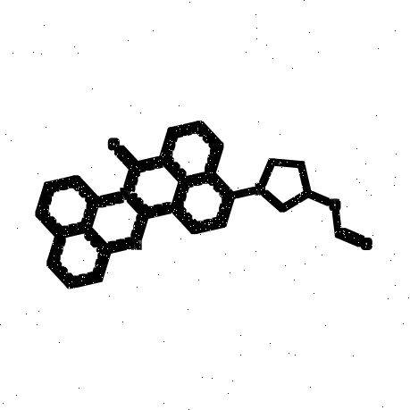 O=COC1CCN(c2ccc3c4c2cccc4c(=O)n2c4cccc5cccc(nc32)c54)C1